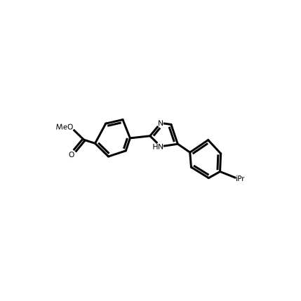 COC(=O)c1ccc(-c2ncc(-c3ccc(C(C)C)cc3)[nH]2)cc1